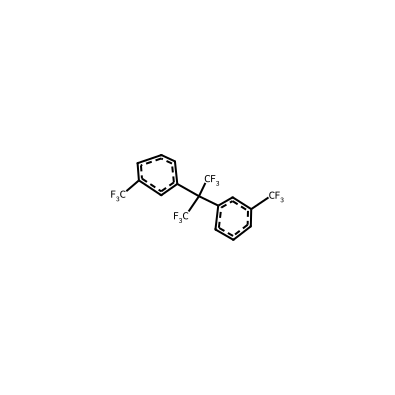 FC(F)(F)c1cccc(C(c2cccc(C(F)(F)F)c2)(C(F)(F)F)C(F)(F)F)c1